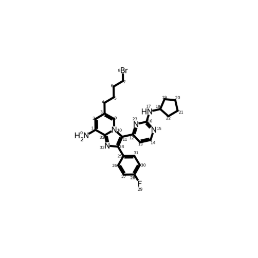 Nc1cc(CCCCBr)cn2c(-c3ccnc(NC4CCCC4)n3)c(-c3ccc(F)cc3)nc12